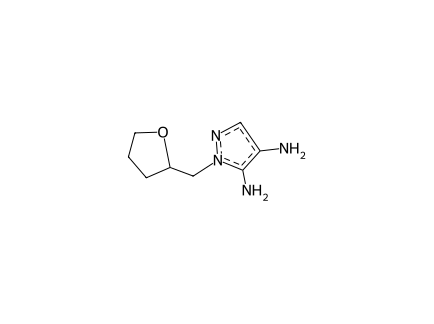 Nc1cnn(CC2CCCO2)c1N